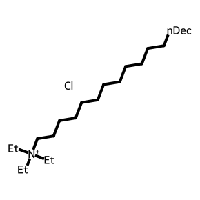 CCCCCCCCCCCCCCCCCCCCCC[N+](CC)(CC)CC.[Cl-]